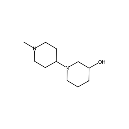 CN1CCC(N2CCCC(O)C2)CC1